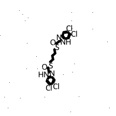 O=C(SCCCCCSC(=O)c1nc2cc(Cl)c(Cl)cc2[nH]1)c1nc2cc(Cl)c(Cl)cc2[nH]1